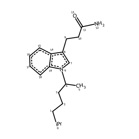 CC(C)CCCC(C)n1cc(CCC(N)=O)c2ccccc21